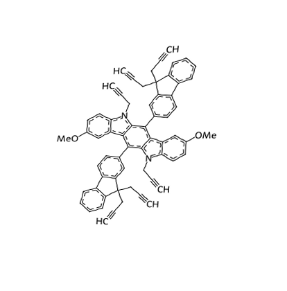 C#CCn1c2ccc(OC)cc2c2c(-c3ccc4c(c3)C(CC#C)(CC#C)c3ccccc3-4)c3c(c(-c4ccc5c(c4)C(CC#C)(CC#C)c4ccccc4-5)c21)c1cc(OC)ccc1n3CC#C